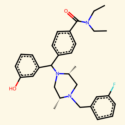 CCN(CC)C(=O)c1ccc(C(c2cccc(O)c2)N2C[C@@H](C)N(Cc3cccc(F)c3)C[C@H]2C)cc1